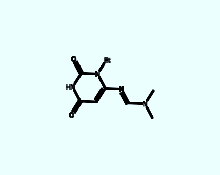 CCn1c(N=CN(C)C)cc(=O)[nH]c1=O